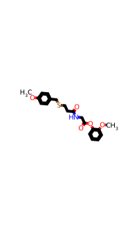 COc1ccc(CSCCC(=O)NCC(=O)Oc2ccccc2OC)cc1